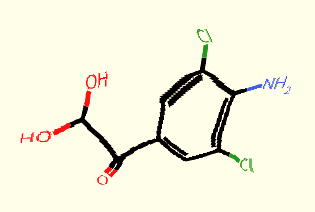 Nc1c(Cl)cc(C(=O)C(O)O)cc1Cl